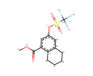 COC(=O)c1cc(OS(=O)(=O)C(F)(F)F)cc2c1CCCC2